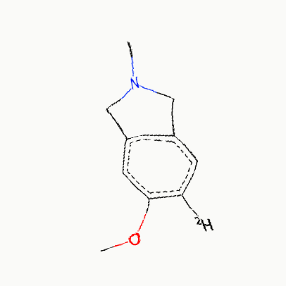 [2H]c1cc2c(cc1OC)CN(C)C2